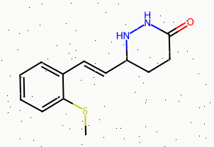 CSc1ccccc1/C=C/C1CCC(=O)NN1